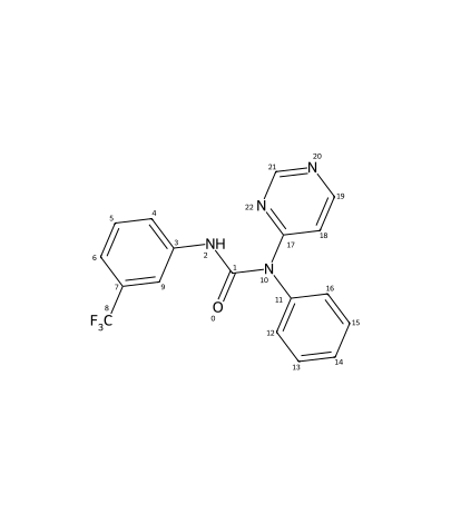 O=C(Nc1cccc(C(F)(F)F)c1)N(c1ccccc1)c1ccncn1